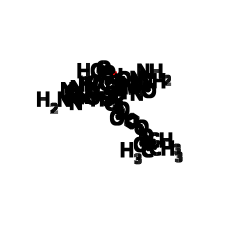 C=C[C@H]1[C@H]2OP(=O)(SCOC(=O)c3ccc(OCOC(=O)C(C)(C)C)cc3)OC[C@H]3O[C@@H](n4cnc5c(N)ncnc54)[C@H](F)[C@@H]3OCP(=O)(O)OC[C@H]1O[C@H]2n1cnc2c(=O)[nH]c(N)nc21